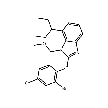 CCC(CC)c1cccc2nc(Oc3ccc(Cl)cc3Br)n(COC)c12